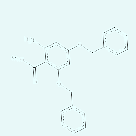 COC(=O)c1c(N)cc(OCc2ccccc2)cc1OCc1ccccc1